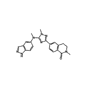 CN1CCc2cc(-c3nc(N(C)c4ccc5[nH]ncc5c4)n(C)n3)ccc2C1=O